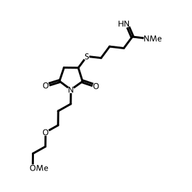 CNC(=N)CCCSC1CC(=O)N(CCCOCCOC)C1=O